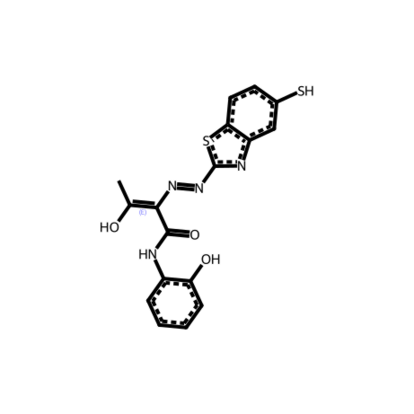 C/C(O)=C(\N=Nc1nc2cc(S)ccc2s1)C(=O)Nc1ccccc1O